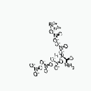 NC(N)=O.O=[N+]([O-])[O-].O=[N+]([O-])[O-].O=[N+]([O-])[O-].O=[N+]([O-])[O-].O=[N+]([O-])[O-].[Bi+3].[Cu+2]